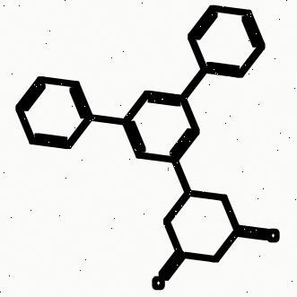 O=C1CC(=O)CC(c2cc(-c3ccccc3)cc(-c3ccccc3)c2)C1